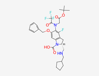 CC(C)(C)OC(=O)CN(C(=O)C(F)(F)F)c1c(OCc2ccccc2)cc2c(c1F)C[C@H](CNCC1CCCC1)N2C(=O)O